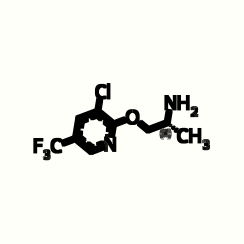 C[C@@H](N)COc1ncc(C(F)(F)F)cc1Cl